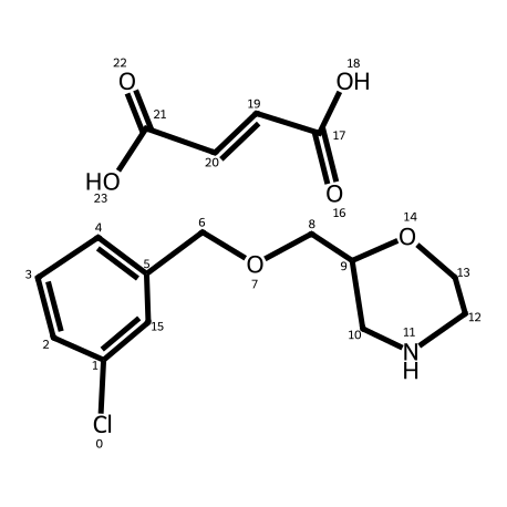 Clc1cccc(COCC2CNCCO2)c1.O=C(O)C=CC(=O)O